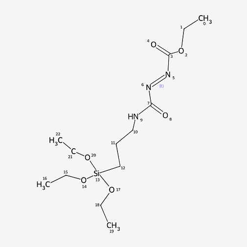 CCOC(=O)/N=N/C(=O)NCCC[Si](OCC)(OCC)OCC